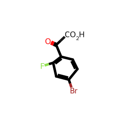 O=C(O)C(=O)c1ccc(Br)cc1F